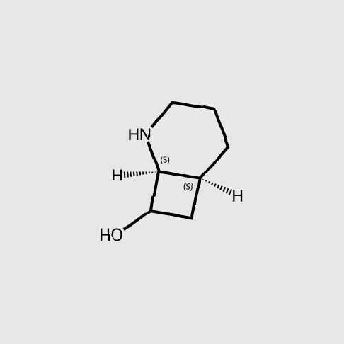 OC1C[C@@H]2CCCN[C@H]12